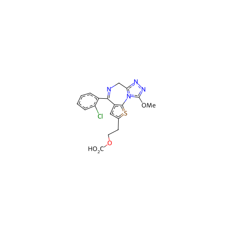 COc1nnc2n1-c1sc(CCOC(=O)O)cc1C(c1ccccc1Cl)=NC2